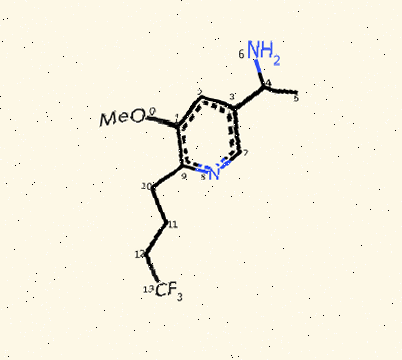 COc1cc(C(C)N)cnc1CCCC(F)(F)F